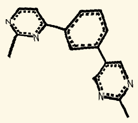 Cc1ncc(-c2cccc(-c3ccnc(C)n3)c2)cn1